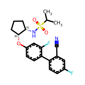 CC(C)S(=O)(=O)N[C@H]1CCC[C@H]1Oc1ccc(-c2ccc(F)cc2C#N)c(F)c1